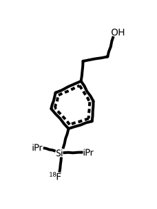 CC(C)[Si]([18F])(c1ccc(CCO)cc1)C(C)C